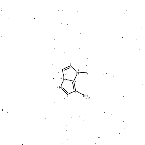 Cn1ccn2ncc(N)c12